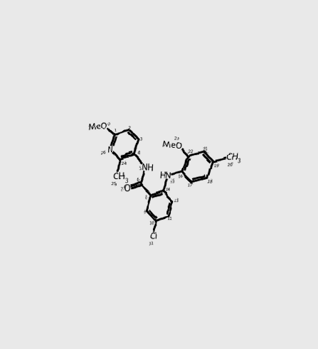 COc1ccc(NC(=O)c2cc(Cl)ccc2Nc2ccc(C)cc2OC)c(C)n1